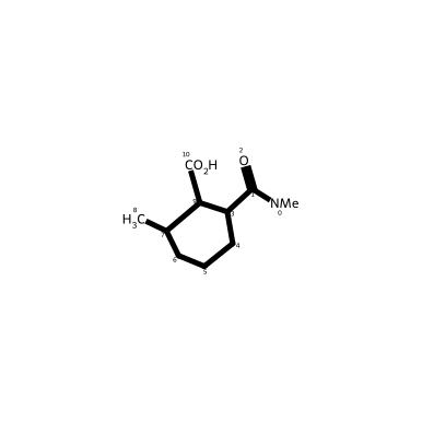 CNC(=O)C1CCCC(C)C1C(=O)O